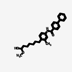 COC(O)CCCCCCc1ccc(NC(=O)c2ccc(-c3ccccc3)cc2)cc1C